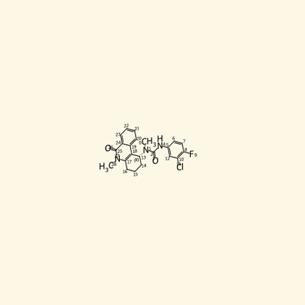 CN(C(=O)Nc1ccc(F)c(Cl)c1)[C@@H]1CCCc2c1c1ccccc1c(=O)n2C